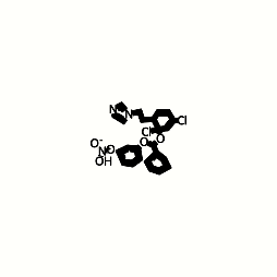 ClC1=CC(Cl)(OC(Oc2ccccc2)c2ccccc2)C(CCn2ccnc2)C=C1.O=[N+]([O-])O